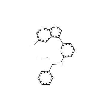 OC[C@H](Nc1cccc(-c2c[nH]c3ncc(Cl)cc23)n1)c1ccccc1